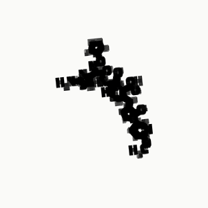 COc1ccc(N2CCC(=CC3=C(C(=O)O)N4C(=O)[C@@H](NC(=O)/C(=N\OC5CCCC5)c5csc(N)n5)[C@H]4SC3)C2=O)cn1